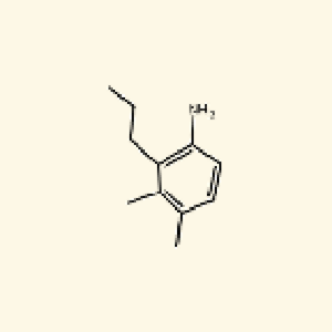 CCCc1c(N)ccc(C)c1C